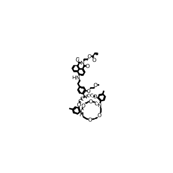 C=CC(=O)OCCN1C(=O)c2cccc3c(NCCc4ccc(N5CCOc6cc(C)ccc6N6CCOCCOCCN(CCOCCOCC6)c6ccc(C)cc6OCC5)c(OCCOC)c4)ccc(c23)C1=O